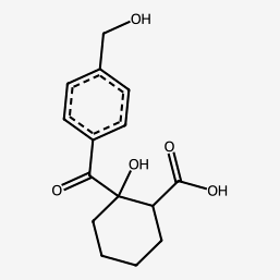 O=C(O)C1CCCCC1(O)C(=O)c1ccc(CO)cc1